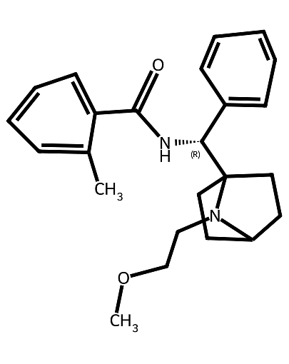 COCCN1C2CCC1([C@H](NC(=O)c1ccccc1C)c1ccccc1)CC2